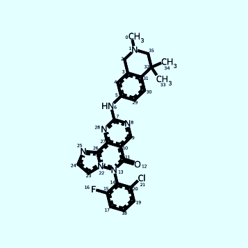 CN1Cc2cc(Nc3ncc4c(=O)n(-c5c(F)cccc5Cl)n5ccnc5c4n3)ccc2C(C)(C)C1